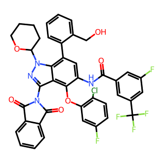 O=C(Nc1cc(-c2ccccc2CO)c2c(c(N3C(=O)c4ccccc4C3=O)nn2C2CCCCO2)c1Oc1cc(F)ccc1Cl)c1cc(F)cc(C(F)(F)F)c1